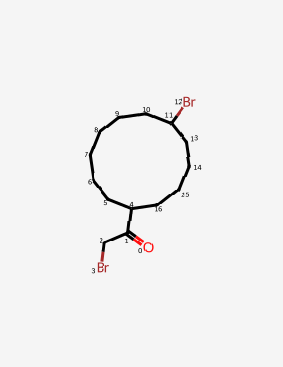 O=C(CBr)C1CCCCCCC(Br)CCCC1